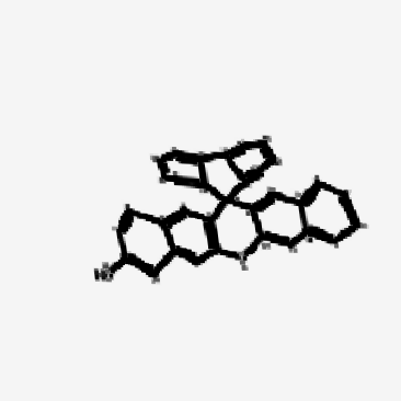 Oc1ccc2cc3c(cc2c1)Oc1cc2ccccc2cc1C31c2ccccc2-c2ccccc21